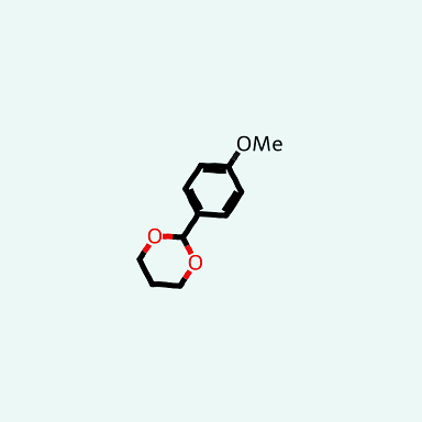 COc1ccc(C2OCCCO2)cc1